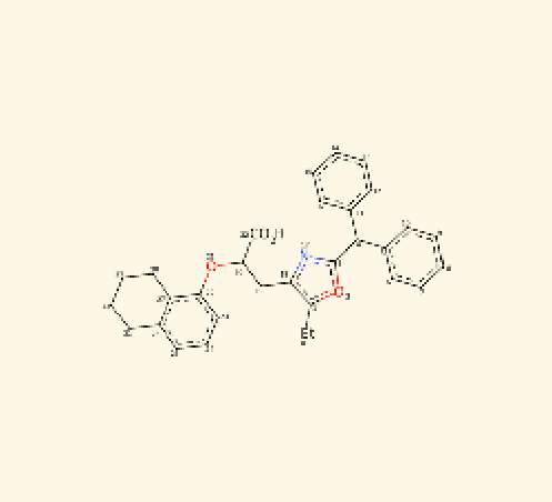 CCc1oc(C(c2ccccc2)c2ccccc2)nc1CC(Oc1cccc2c1CCCC2)C(=O)O